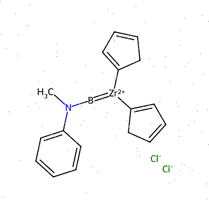 CN([B]=[Zr+2]([C]1=CC=CC1)[C]1=CC=CC1)c1ccccc1.[Cl-].[Cl-]